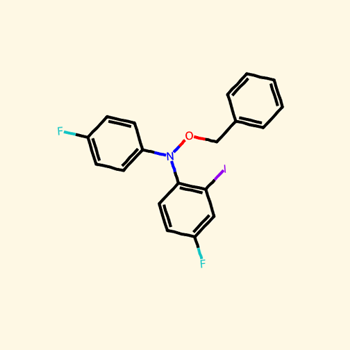 Fc1ccc(N(OCc2ccccc2)c2ccc(F)cc2I)cc1